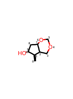 C=C1C2COCOC2C[C@H]1O